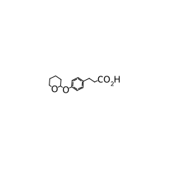 O=C(O)CCc1ccc(OC2CCCCO2)cc1